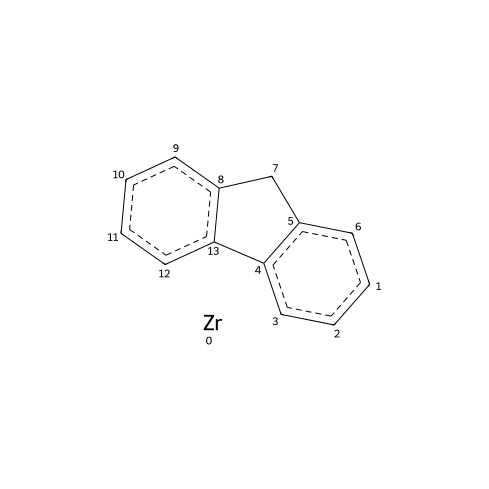 [Zr].c1ccc2c(c1)Cc1ccccc1-2